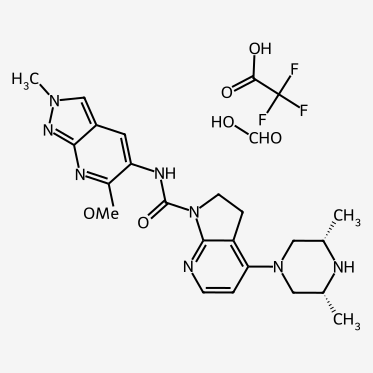 COc1nc2nn(C)cc2cc1NC(=O)N1CCc2c(N3C[C@@H](C)N[C@@H](C)C3)ccnc21.O=C(O)C(F)(F)F.O=CO